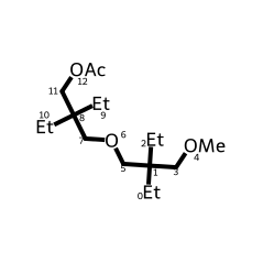 CCC(CC)(COC)COCC(CC)(CC)COC(C)=O